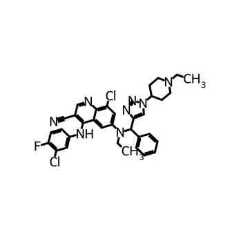 CCN1CCC(n2cc(C(c3ccccc3)N(CC)c3cc(Cl)c4ncc(C#N)c(Nc5ccc(F)c(Cl)c5)c4c3)nn2)CC1